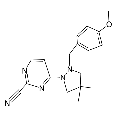 COc1ccc(CN2CC(C)(C)CN2c2ccnc(C#N)n2)cc1